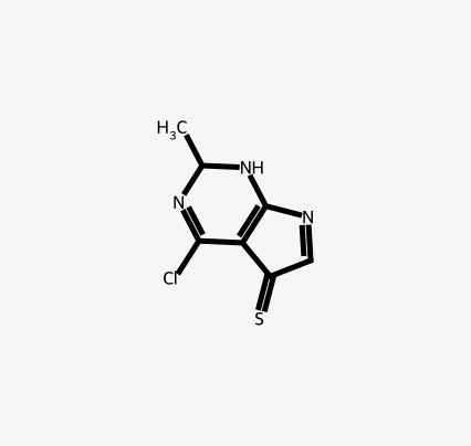 CC1N=C(Cl)C2=C(N=CC2=S)N1